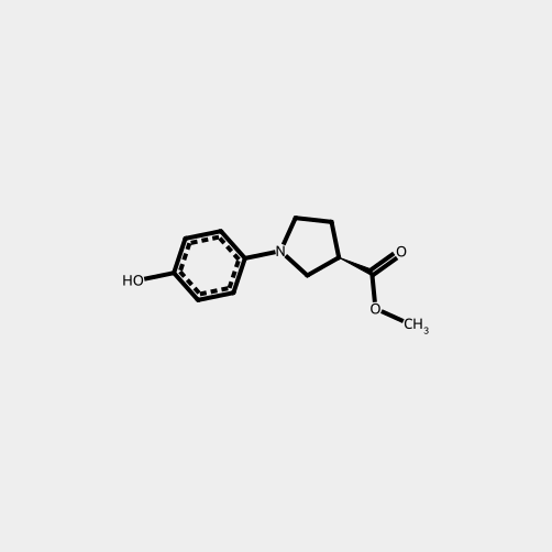 COC(=O)[C@@H]1CCN(c2ccc(O)cc2)C1